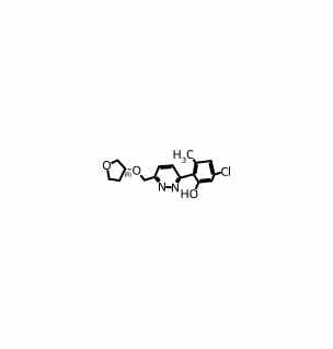 Cc1cc(Cl)cc(O)c1-c1ccc(CO[C@@H]2CCOC2)nn1